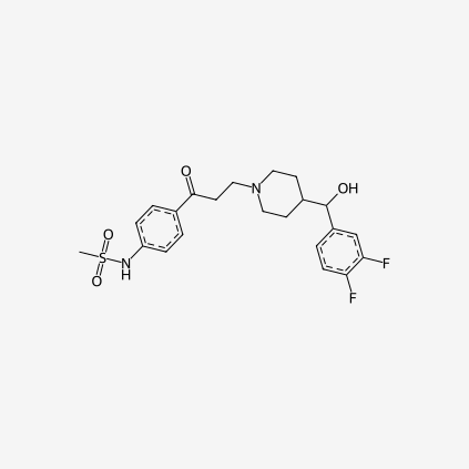 CS(=O)(=O)Nc1ccc(C(=O)CCN2CCC(C(O)c3ccc(F)c(F)c3)CC2)cc1